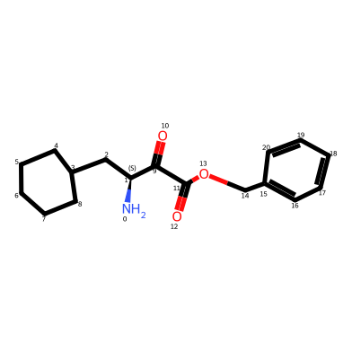 N[C@@H](CC1CCCCC1)C(=O)C(=O)OCc1ccccc1